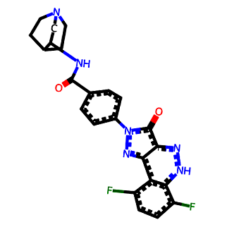 O=C(NC1CN2CCC1CC2)c1ccc(-n2nc3c4c(F)ccc(F)c4[nH]nc-3c2=O)cc1